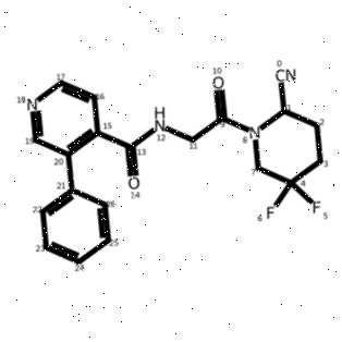 N#CC1CCC(F)(F)CN1C(=O)CNC(=O)c1ccncc1-c1ccccc1